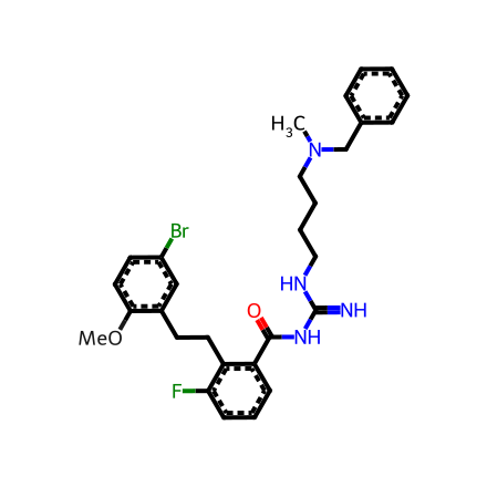 COc1ccc(Br)cc1CCc1c(F)cccc1C(=O)NC(=N)NCCCCN(C)Cc1ccccc1